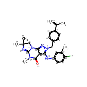 C=C(C)c1ccc(Cn2nc3c(c2Nc2ccc(F)c(C)c2)C(=O)N(C)C2=NC(C)(C)CN23)cc1